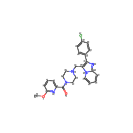 CCOc1cccc(C(=O)N2CCN(Cc3c(-c4ccc(Cl)cc4)nc4ccccn34)CC2)n1